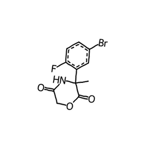 CC1(c2cc(Br)ccc2F)NC(=O)COC1=O